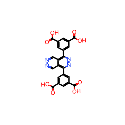 O=C(O)c1cc(C(=O)O)cc(-c2nnc(-c3cc(C(=O)O)cc(C(=O)O)c3)c3cnncc23)c1